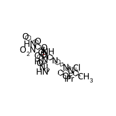 Cc1cc(F)c(N2CCN(C3CC4(CCN(c5ccc(C(=O)NS(=O)(=O)c6cc7c(c([N+](=O)[O-])c6)N[C@H](C6CCOCC6)CO7)c(N6c7cc8cc[nH]c8nc7O[C@H]7COCC[C@@H]76)c5)CC4)C3)[C@H](c3ccccc3OC(C)C)C2)c(Cl)c1